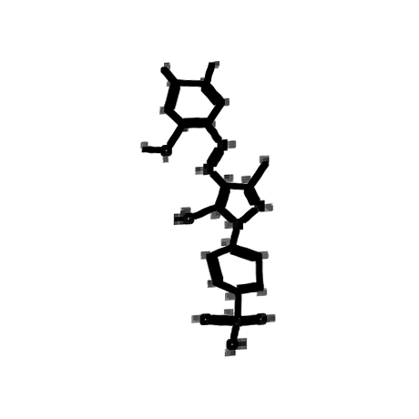 COc1cc(C)c(C)cc1/N=N/c1c(C)nn(-c2ccc(S(=O)(=O)O)cc2)c1O